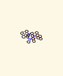 c1ccc(-c2ccc(N(c3cccc(N(c4ccccc4)c4c5ccccc5c(-c5ccc6ccccc6c5)c5ccccc45)c3)c3cccc4c3C3(c5ccccc5-c5ccccc53)c3ccccc3-4)cc2N(c2ccccc2)c2ccc3ccccc3c2)cc1